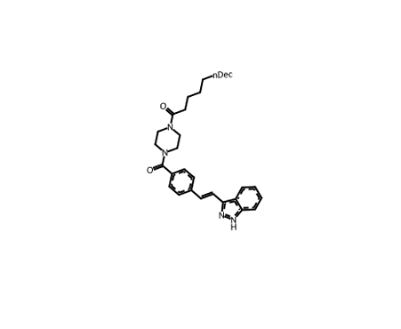 CCCCCCCCCCCCCCC(=O)N1CCN(C(=O)c2ccc(/C=C/c3n[nH]c4ccccc34)cc2)CC1